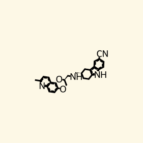 Cc1ccc2c3c(ccc2n1)OC[C@H](CNC[C@H]1CCc2[nH]c4ccc(C#N)cc4c2C1)O3